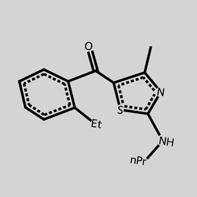 [CH2]CCNc1nc(C)c(C(=O)c2ccccc2CC)s1